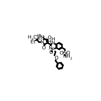 CCC(C)(C)CN1C(=O)C(C2=NP(=O)(CCOCc3ccccc3)c3cc(CS(N)(=O)=O)ccc3N2)=C(O)[C@@H]1C(C)(C)C